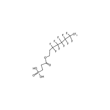 O=C(CCP(=O)(O)O)OCCC(F)(F)C(F)(F)C(F)(F)C(F)(F)C(F)(F)C(F)(F)F